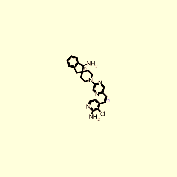 Nc1nccc(/C=C\c2cnc(N3CCC4(CC3)Cc3ccccc3[C@H]4N)cn2)c1Cl